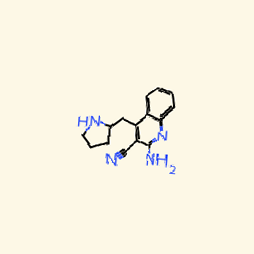 N#Cc1c(N)nc2ccccc2c1CC1CCCN1